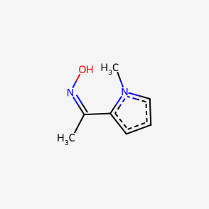 C/C(=N/O)c1cccn1C